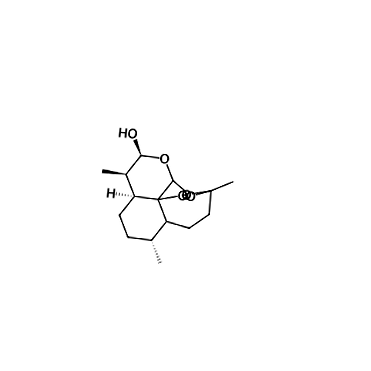 C[C@H]1[C@@H](O)OC2OC3(C)CCC4[C@H](C)CC[C@@H]1C24OO3